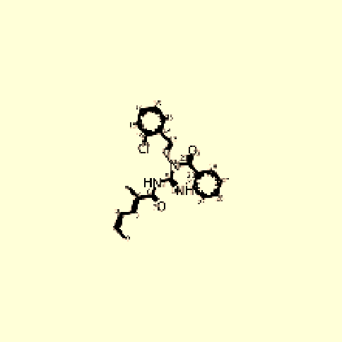 C/C=C\C=C(/C)C(=O)NC(=N)N(/N=C/c1ccccc1Cl)C(=O)c1ccccc1